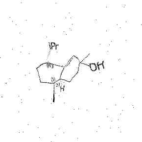 CC(C)[C@H]1CC[C@H](C)[C@@H]2CCC(C)(O)C=C21